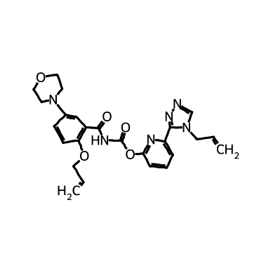 C=CCOc1ccc(N2CCOCC2)cc1C(=O)NC(=O)Oc1cccc(-c2nncn2CC=C)n1